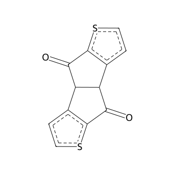 O=C1c2sccc2C2C(=O)c3sccc3C12